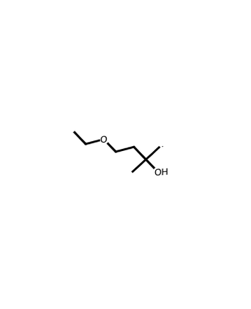 [CH2]C(C)(O)CCOCC